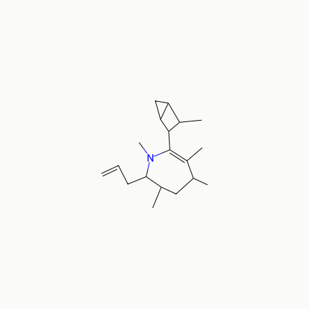 C=CCC1C(C)CC(C)C(C)=C(C2C(C)C3CC32)N1C